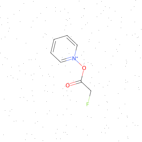 O=C(CF)O[n+]1ccccc1